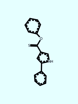 S=C(Oc1ccccc1)c1c[nH]c(-c2ccccc2)c1